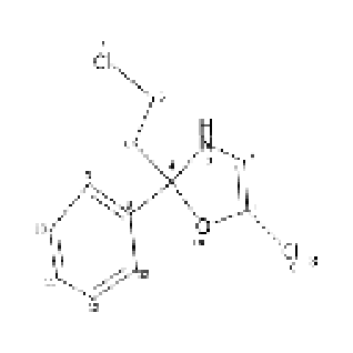 CC1=CNC(CCCl)(c2ccccc2)O1